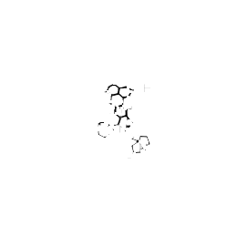 C#Cc1c(F)ccc2cc(O)cc(-c3ccc4c(N5CCCOCC5)nc(OCC56CCCN5CC(F)C6)nc4c3C)c12